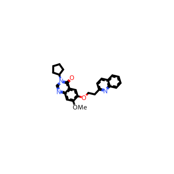 COc1cc2ncn(C3CCCC3)c(=O)c2cc1OCCc1ccc2ccccc2n1